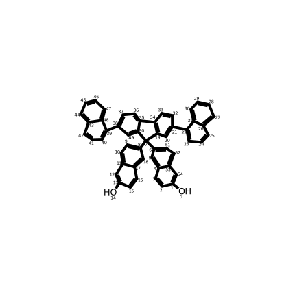 Oc1ccc2cc(C3(c4ccc5cc(O)ccc5c4)c4cc(-c5cccc6ccccc56)ccc4-c4ccc(-c5cccc6ccccc56)cc43)ccc2c1